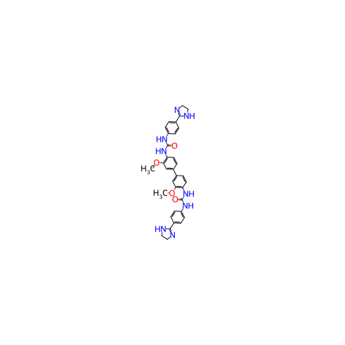 COc1cc(-c2ccc(NC(=O)Nc3ccc(C4=NCCN4)cc3)c(OC)c2)ccc1NC(=O)Nc1ccc(C2=NCCN2)cc1